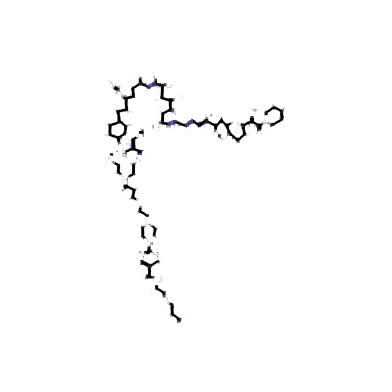 C=N/C=C(\C=N/CCN(CCNC)C(=O)CCOCCN1CCN(c2ncc(C(=O)NCCOCCC=O)cn2)CC1)COC1CCC(CCC(CCC(C)/C=C(\C)C(O)CC(=O)C(C)CC(C)/C=C/C=C/C=C(\C)C(CC2CCCC(C(=O)C(=O)N3CCCCC3)O2)OC)OC=O)CC1